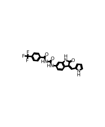 O=C(NC(=O)c1ccc(C(F)(F)F)cc1)Nc1ccc2c(c1)NC(=O)/C2=C\c1ccc[nH]1